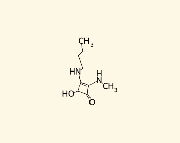 CCCCNC1=C(NC)C(=O)C1O